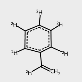 [2H]C(=C)c1c([2H])c([2H])c([2H])c([2H])c1[2H]